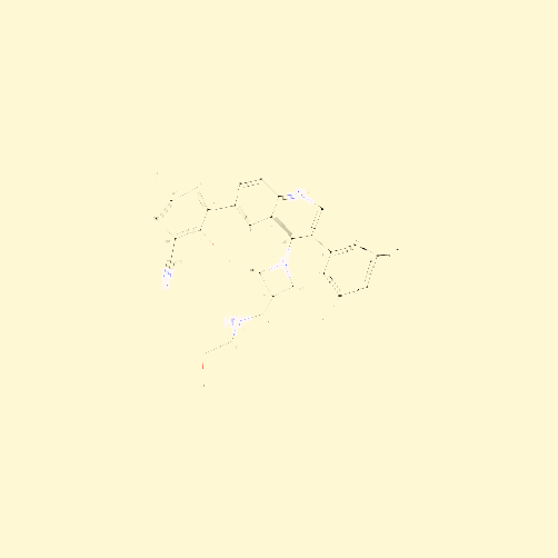 Cc1cc(F)cc(-c2cnc3ccc(-c4cc(F)cc(C#N)c4O)cc3c2N2CC(CNCCO)C2)c1